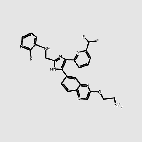 NCCOc1cnc2ccc(-c3[nH]c(CNc4cccnc4F)nc3-c3cccc(C(F)F)n3)cc2n1